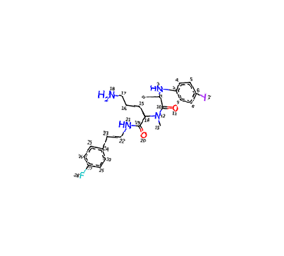 CC(Nc1ccc(I)cc1)C(=O)N(C)C(CCCN)C(=O)NCCc1ccc(F)cc1